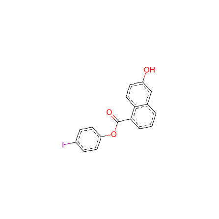 O=C(Oc1ccc(I)cc1)c1cccc2cc(O)ccc12